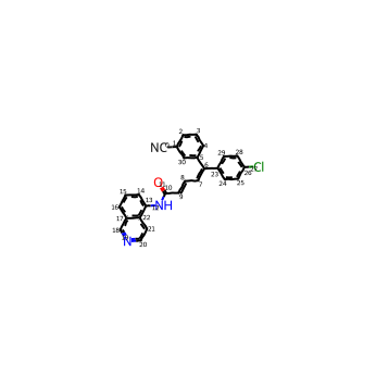 N#Cc1cccc(/C(=C\C=C\C(=O)Nc2cccc3cnccc23)c2ccc(Cl)cc2)c1